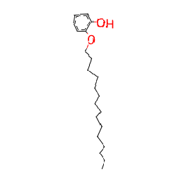 CCCCCCCCCCCCCCCOc1ccccc1O